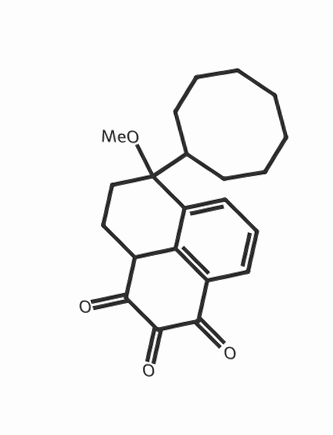 COC1(C2CCCCCCC2)CCC2C(=O)C(=O)C(=O)c3cccc1c32